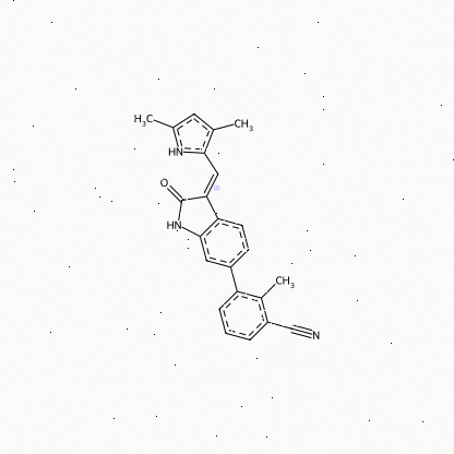 Cc1cc(C)c(/C=C2\C(=O)Nc3cc(-c4cccc(C#N)c4C)ccc32)[nH]1